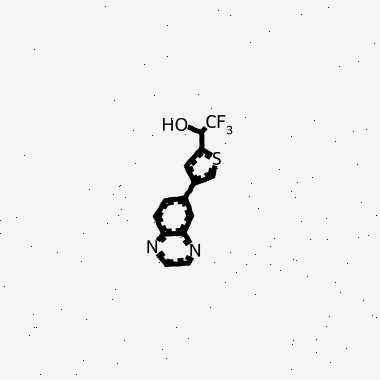 OC(c1cc(-c2ccc3nccnc3c2)cs1)C(F)(F)F